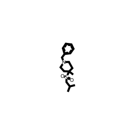 CC(C)CS(=O)(=O)C1(C)CCN(Cc2ccccc2)CC1